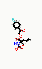 C=CCC1(C(=O)OCC(=O)c2ccc(F)cc2)COC(=O)N1